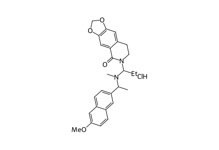 CCC(N1CCc2cc3c(cc2C1=O)OCO3)N(C)C(C)c1ccc2cc(OC)ccc2c1.Cl